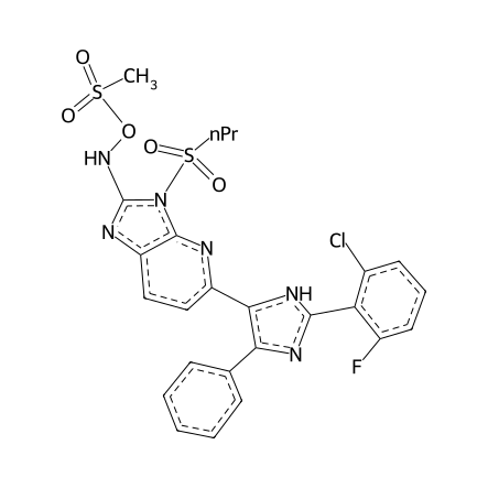 CCCS(=O)(=O)n1c(NOS(C)(=O)=O)nc2ccc(-c3[nH]c(-c4c(F)cccc4Cl)nc3-c3ccccc3)nc21